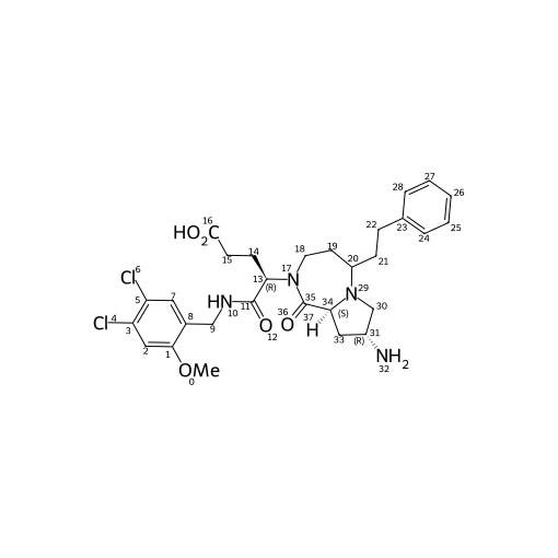 COc1cc(Cl)c(Cl)cc1CNC(=O)[C@@H](CCC(=O)O)N1CCC(CCc2ccccc2)N2C[C@H](N)C[C@H]2C1=O